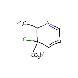 CC1N=CC=CC1(F)C(=O)O